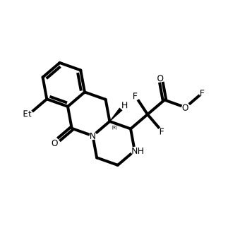 CCc1cccc2c1C(=O)N1CCNC(C(F)(F)C(=O)OF)[C@H]1C2